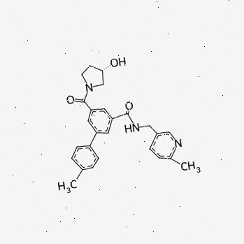 Cc1ccc(-c2cc(C(=O)NCc3ccc(C)nc3)cc(C(=O)N3CC[C@H](O)C3)c2)cc1